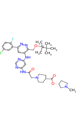 CN1CC[C@@H](OC(=O)C2CCN(CC(=O)Nc3cc(Nc4cc(-c5cc(Cl)ccc5F)nnc4CO[Si](C)(C)C(C)(C)C)ncn3)CC2)C1